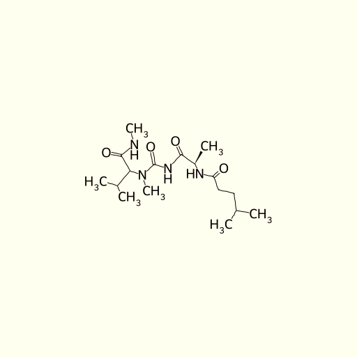 CNC(=O)C(C(C)C)N(C)C(=O)NC(=O)[C@@H](C)NC(=O)CCC(C)C